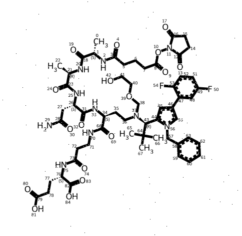 C[C@H](NC(=O)CCCC(=O)ON1C(=O)CCC1=O)C(=O)N[C@H](C)C(=O)N[C@@H](CC(N)=O)C(=O)N[C@@H](CCN(COCCO)[C@@H](c1cc(-c2cc(F)ccc2F)cn1Cc1ccccc1)C(C)(C)C)C(=O)NCCC(=O)N[C@@H](CCC(=O)O)C(=O)O